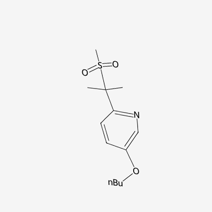 CCCCOc1ccc(C(C)(C)S(C)(=O)=O)nc1